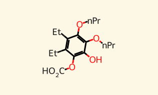 CCCOc1c(O)c(OC(=O)O)c(CC)c(CC)c1OCCC